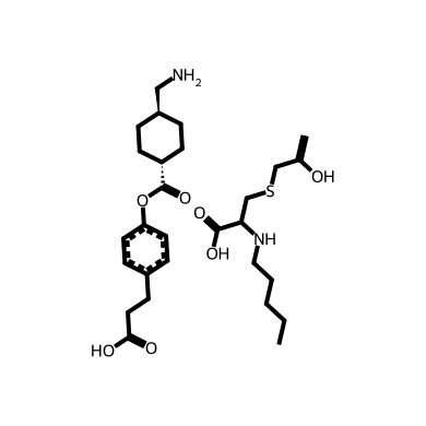 C=C(O)CSCC(NCCCCC)C(=O)O.NC[C@H]1CC[C@H](C(=O)Oc2ccc(CCC(=O)O)cc2)CC1